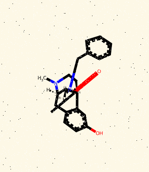 CN1CC[C@]23CC(=O)N(Cc4ccccc4)C[C@H]2[C@H]1Cc1ccc(O)cc13